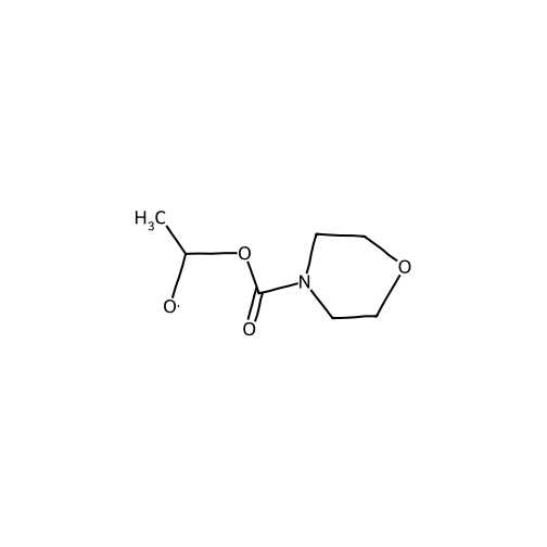 CC([O])OC(=O)N1CCOCC1